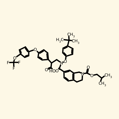 CC(C)COC(=O)N1CCc2ccc(C(=O)N(CC(C(=O)O)c3ccc(Oc4ccc(OC(F)(F)F)cc4)cc3)Oc3ccc(C(C)(C)C)cc3)cc2C1